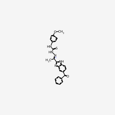 COc1ccc(NC(=S)N/N=C(\C)c2nc3cc(C(=O)c4ccccc4)ccc3[nH]2)cc1